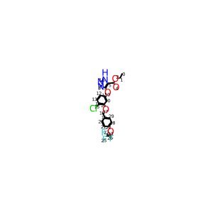 CCOC(=O)c1[nH]nnc1Oc1ccc(Cl)c(OCc2ccc(OC(F)(F)F)cc2)c1